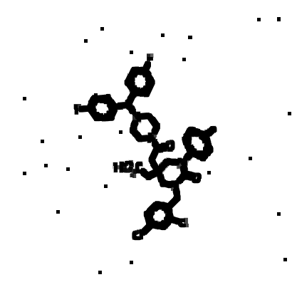 Cc1ccc(N2CC(CC(=O)O)(CC(=O)N3CCN(C(c4ccc(F)cc4)c4ccc(F)cc4)CC3)CN(Cc3ccc(Cl)cc3Cl)C2=O)cc1